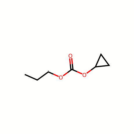 CC[CH]OC(=O)OC1CC1